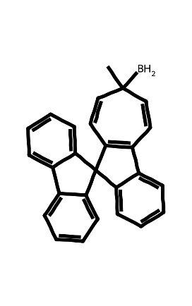 BC1(C)C=CC2=C(C=C1)C1(c3ccccc32)c2ccccc2-c2ccccc21